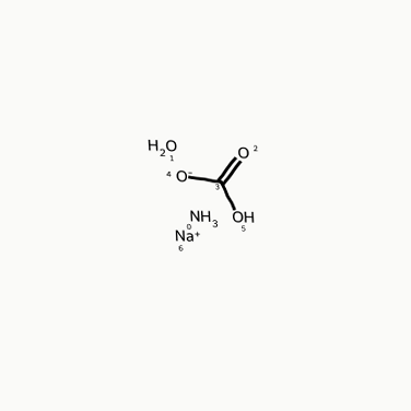 N.O.O=C([O-])O.[Na+]